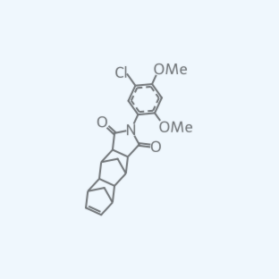 COc1cc(OC)c(N2C(=O)C3C4CC(C3C2=O)C2C3C=CC(C3)C42)cc1Cl